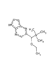 CCOC(c1cnc2[nH]ccc2n1)[Si](C)(C)C